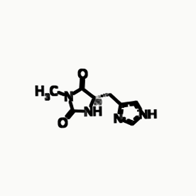 CN1C(=O)N[C@@H](Cc2c[nH]cn2)C1=O